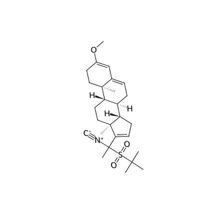 [C-]#[N+]C(C)(C1=CC[C@H]2[C@@H]3CC=C4C=C(OC)CC[C@]4(C)[C@H]3CC[C@]12C)S(=O)(=O)C(C)(C)C